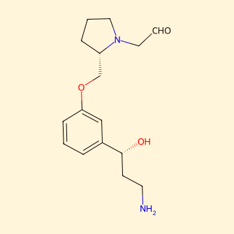 NCC[C@@H](O)c1cccc(OC[C@@H]2CCCN2CC=O)c1